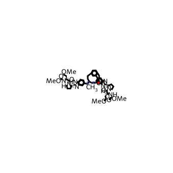 COCC[C@H](NC(=O)OC)C(=O)N1CCC[C@H]1c1nc2cc(/C(C)=C3/C=C\[C@H](C)CCc4ccc(cc4-c4ccc5[nH]c([C@@H]6CCCN6C(=O)[C@H](CCOC)NC(=O)OC)nc5c4)CC3)ccc2[nH]1